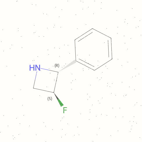 F[C@H]1CN[C@@H]1c1ccccc1